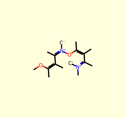 [CH2-]/[N+](O/C(C)=C(C)\C(C)=[N+](/[CH2-])C)=C(C)/C(C)=C(/C)OC